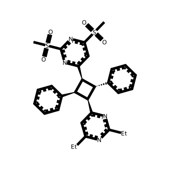 CCc1cc([C@H]2[C@@H](c3ccccc3)[C@@H](c3cc(S(C)(=O)=O)nc(S(C)(=O)=O)n3)[C@@H]2c2ccccc2)nc(CC)n1